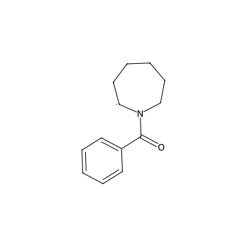 O=C(c1ccccc1)N1[CH]CCCCC1